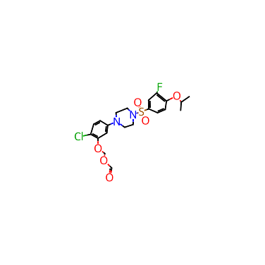 CC(C)Oc1ccc(S(=O)(=O)N2CCN(c3ccc(Cl)c(OCOC=O)c3)CC2)cc1F